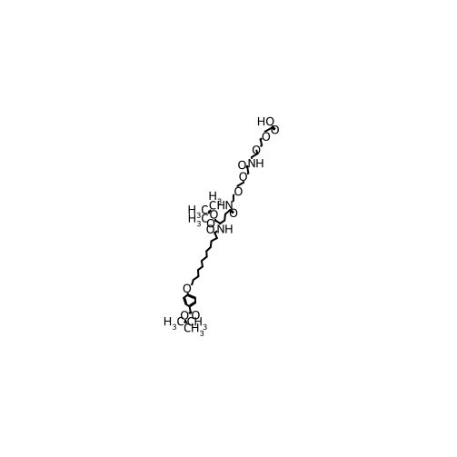 CC(C)(C)OC(=O)c1ccc(OCCCCCCCCCCCC(=O)NC(CCC(=O)NCCOCCOCC(=O)NCCOCCOCC(=O)O)C(=O)OC(C)(C)C)cc1